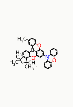 Cc1ccc2c(c1)B1c3ccc4c(c3Oc3cc(N5c6ccccc6Oc6ccccc65)cc(c31)O2)C(C)(C)CC4(C)C